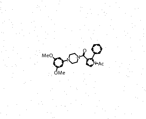 COc1cc(OC)cc(N2CCN(C(=O)c3ccn(C(C)=O)c3-c3ccccc3)CC2)c1